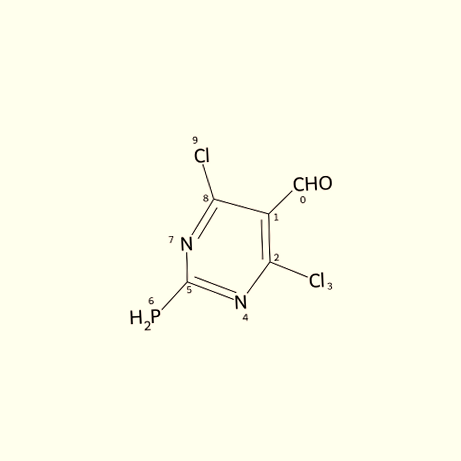 O=Cc1c(Cl)nc(P)nc1Cl